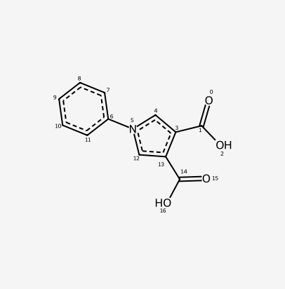 O=C(O)c1cn(-c2ccccc2)cc1C(=O)O